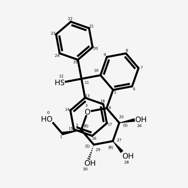 OC[C@H]1OC(c2ccccc2C(S)(c2ccccc2)c2ccccc2)[C@@H](O)[C@@H](O)[C@@H]1O